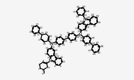 CC1CCC=C(n2c3ccccc3c3cc(N(C4=CCC(c5ccccc5)C=C4)c4ccc(-c5ccc(N(c6ccc(-c7ccccc7)cc6)c6ccc7c(c6)c6ccccc6n7-c6ccccc6)cc5)cc4)ccc32)C1